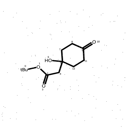 CC(C)(C)OC(=O)CC1(O)CCC(=O)CC1